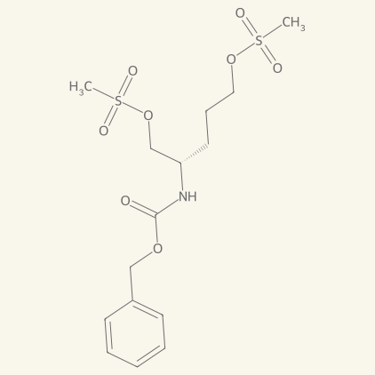 CS(=O)(=O)OCCC[C@@H](COS(C)(=O)=O)NC(=O)OCc1ccccc1